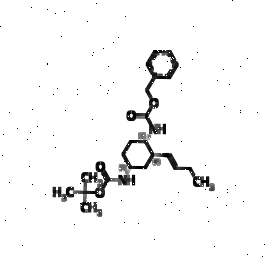 CCC=C[C@H]1C[C@H](NC(=O)OC(C)(C)C)CC[C@@H]1NC(=O)OCc1ccccc1